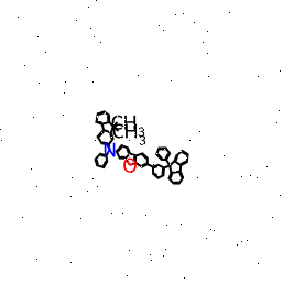 CC1(C)c2ccccc2-c2ccc(N(c3ccccc3)c3ccc4c(c3)oc3cc(-c5cccc(C6(c7ccccc7)c7ccccc7-c7ccccc76)c5)ccc34)cc21